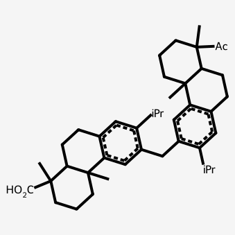 CC(=O)C1(C)CCCC2(C)c3cc(Cc4cc5c(cc4C(C)C)CCC4C(C)(C(=O)O)CCCC54C)c(C(C)C)cc3CCC12